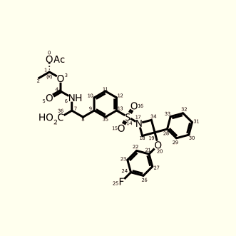 CC(=O)O[C@@H](C)OC(=O)NC(Cc1cccc(S(=O)(=O)N2CC(Oc3ccc(F)cc3)(c3ccccc3)C2)c1)C(=O)O